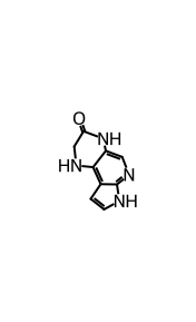 O=C1CNc2c(cnc3[nH]ccc23)N1